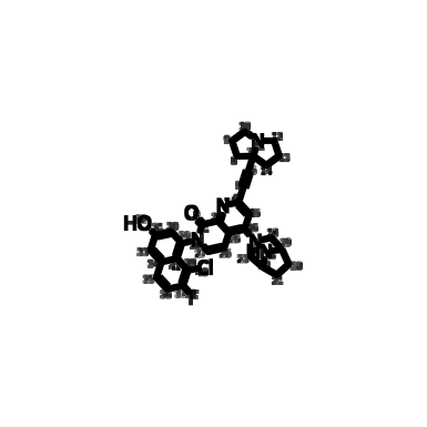 O=c1c2nc(C#CC34CCCN3CCC4)cc(N3CC4CCC(C3)N4)c2ccn1-c1cc(O)cc2ccc(F)c(Cl)c12